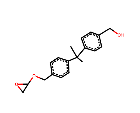 CC(C)(c1ccc(CO)cc1)c1ccc(COC2CO2)cc1